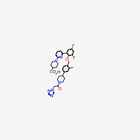 Cc1cc(C2CCN(C(=O)Cn3cncn3)CC2)ccc1COc1c(F)cc(F)cc1-c1cccc(N2CCC(C(=O)O)CC2)n1